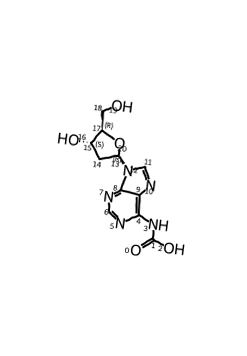 O=C(O)Nc1ncnc2c1ncn2[C@H]1C[C@H](O)[C@@H](CO)O1